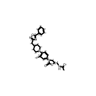 CC(=O)NC[C@H]1CN(c2ccc(N3CCC(Cc4noc(-c5ccccc5)n4)CC3)c(F)c2)C(=O)O1